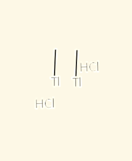 Cl.Cl.[CH3][Tl].[CH3][Tl]